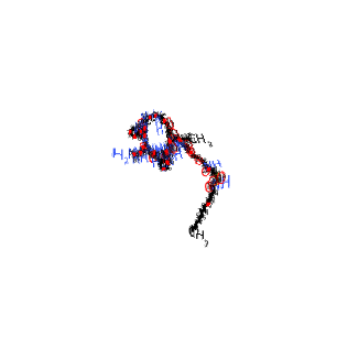 CCCCCCCCCCCCCCCC(=O)NS(=O)(=O)CCCC(=O)NCCOCCOCC(=O)N[C@@H](CCCC)C(=O)N[C@H]1CCC(=O)CCCNCCCC[C@@H](C(N)=O)NC(=O)[C@H](Cc2c[nH]c3ccccc23)NC(=O)[C@H](CCCNC(=N)N)NC(=O)[C@@H](Cc2ccccc2)NC(=O)[C@H](CN)NC1=O